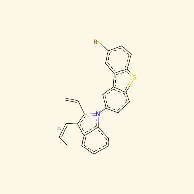 C=Cc1c(/C=C\C)c2ccccc2n1-c1ccc2sc3ccc(Br)cc3c2c1